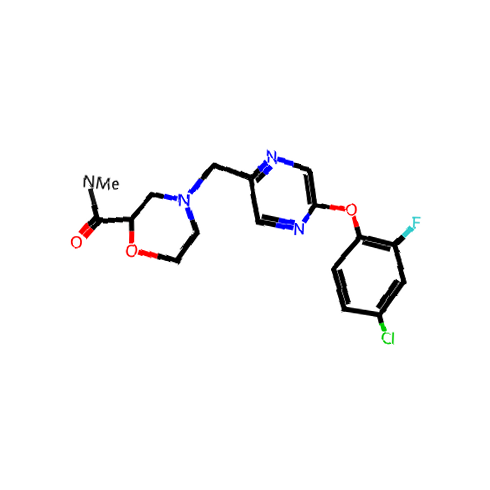 CNC(=O)C1CN(Cc2cnc(Oc3ccc(Cl)cc3F)cn2)CCO1